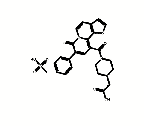 CS(=O)(=O)O.O=C(O)CN1CCN(C(=O)c2cc(-c3ccccc3)c(=O)n3ccc4ccsc4c23)CC1